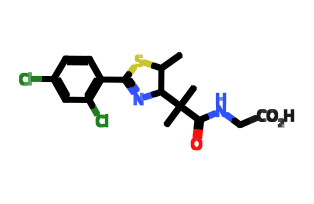 CC1SC(c2ccc(Cl)cc2Cl)=NC1C(C)(C)C(=O)NCC(=O)O